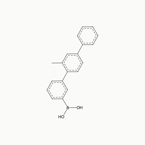 Cc1cc(-c2ccccc2)ccc1-c1cccc(B(O)O)c1